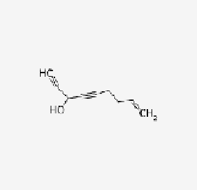 C#CC(O)C#CCCC=C